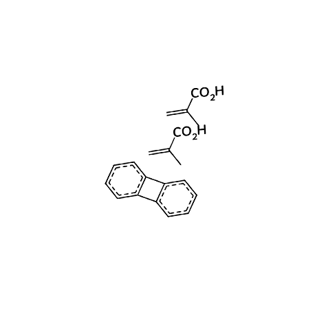 C=C(C)C(=O)O.C=C(C)C(=O)O.c1ccc2c(c1)-c1ccccc1-2